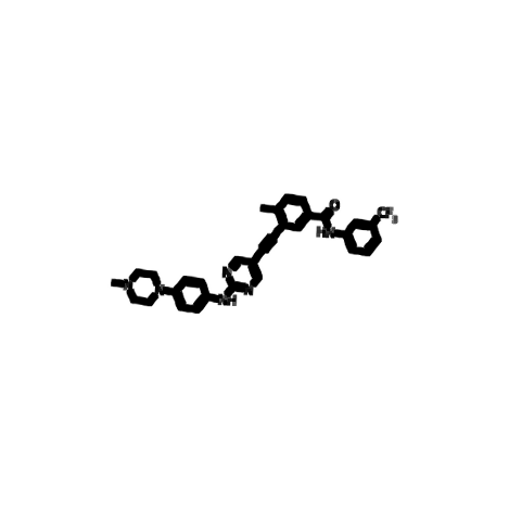 Cc1ccc(C(=O)Nc2cccc(C(F)(F)F)c2)cc1C#Cc1cnc(Nc2ccc(N3CCN(C)CC3)cc2)nc1